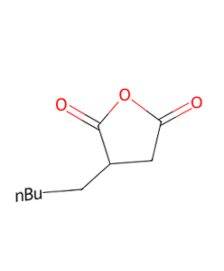 CCCCCC1CC(=O)OC1=O